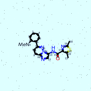 CNc1ccccc1-c1ccc2ncc(NC(=O)c3nc(C)sc3C)n2n1